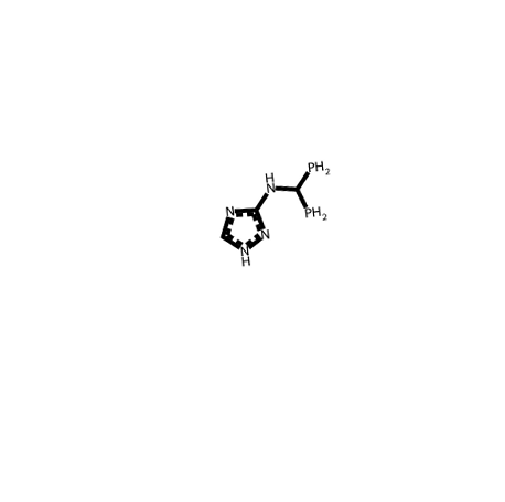 PC(P)Nc1nc[nH]n1